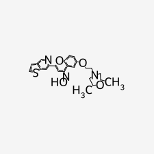 CC1CN(CCOc2ccc3oc(-c4cc5sccc5cn4)c/c(=N\O)c3c2)CC(C)O1